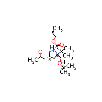 C=CCOC(=O)N1C[C@@H](CC(C)=O)C[C@@]1(CO[SiH](C)C)C(C)(C)C